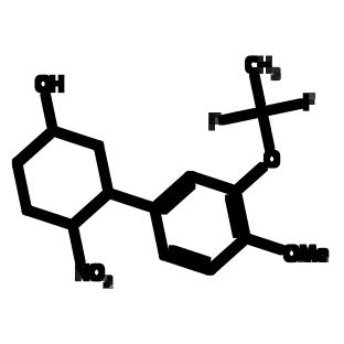 COc1ccc(C2CC(O)CCC2[N+](=O)[O-])cc1OC(C)(F)F